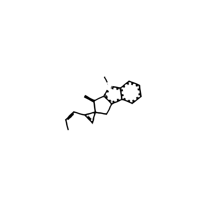 C=C1c2c(c3ccccc3n2C)CC12C=C2/C=C\C